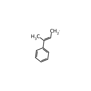 [CH2]/C=C(\C)c1ccccc1